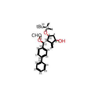 C=C1[C@H](O)C[C@H](O[Si](C)(C)C(C)(C)C)[C@H]1C(OC=O)c1ccc(-c2ccccc2)cc1